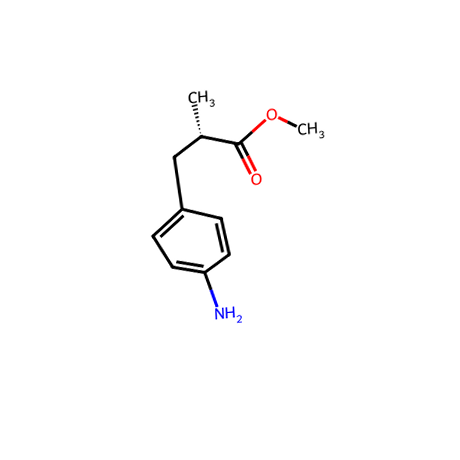 COC(=O)[C@@H](C)Cc1ccc(N)cc1